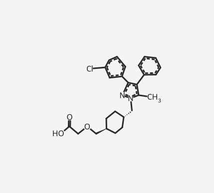 Cc1c(-c2ccccc2)c(-c2cccc(Cl)c2)nn1C[C@H]1CC[C@H](COCC(=O)O)CC1